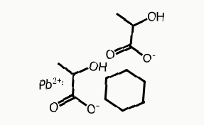 C1CCCCC1.CC(O)C(=O)[O-].CC(O)C(=O)[O-].[Pb+2]